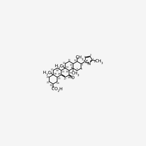 Cc1ccn(C2CCC3(C)C(CCC4(C)C5CCC6(C)CCC(C(=O)O)CC6C5=CC(=O)C43)C2C)n1